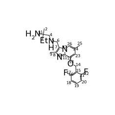 CCC(C)(N)CNCc1c(C)nc2c(OCc3c(F)cccc3F)cc(C)cn12